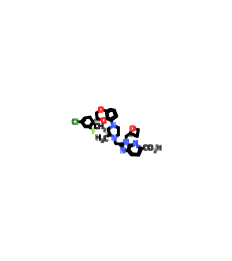 C[C@H]1CN(c2cccc3c2O[C@H](C2(C)CC=C(Cl)C=C2F)CO3)CCN1Cc1nc2ccc(C(=O)O)nc2n1C[C@@H]1CCO1